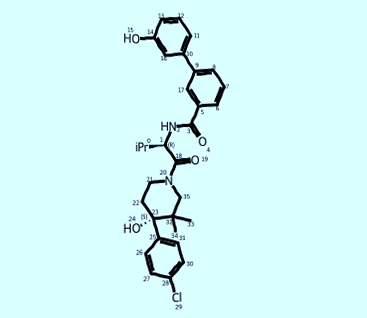 CC(C)[C@@H](NC(=O)c1cccc(-c2cccc(O)c2)c1)C(=O)N1CC[C@](O)(c2ccc(Cl)cc2)C(C)(C)C1